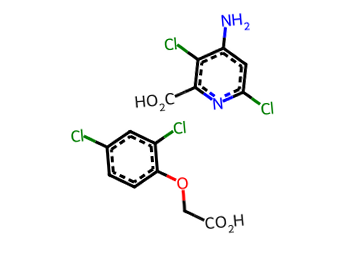 Nc1cc(Cl)nc(C(=O)O)c1Cl.O=C(O)COc1ccc(Cl)cc1Cl